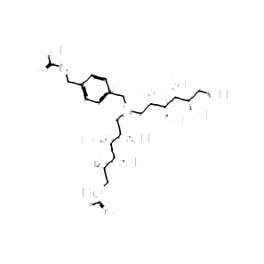 O=C(O)NCc1ccc(CN(C[C@H](O)[C@@H](O)[C@H](O)[C@H](O)CO)C[C@H](O)[C@@H](O)[C@H](O)[C@H](O)CO)cc1.O=CO